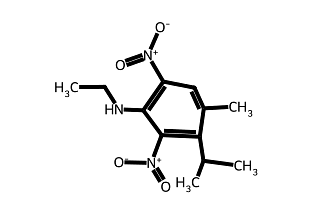 CCNc1c([N+](=O)[O-])cc(C)c(C(C)C)c1[N+](=O)[O-]